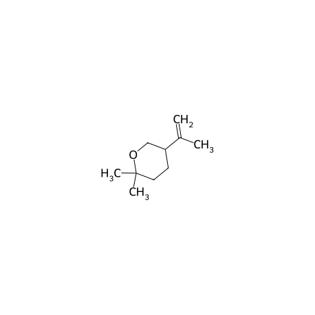 C=C(C)C1CCC(C)(C)OC1